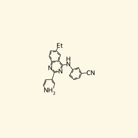 C/C=C(\C=C/N)c1nc(Nc2cccc(C#N)c2)c2cc(CC)ccc2n1